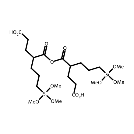 CO[Si](CCCC(CCC(=O)O)C(=O)OC(=O)C(CCC[Si](OC)(OC)OC)CCC(=O)O)(OC)OC